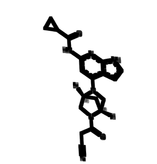 N#CCC(=O)N1C[C@H]2C[C@@H]1CN2c1cc(NC(=O)C2CC2)nc2[nH]ccc12